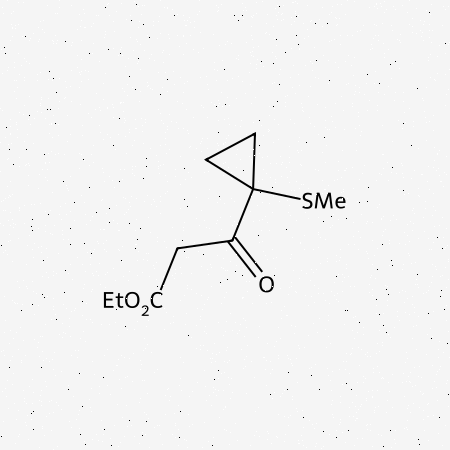 CCOC(=O)CC(=O)C1(SC)CC1